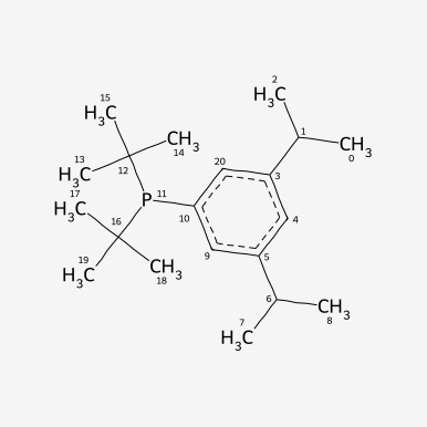 CC(C)c1cc(C(C)C)cc(P(C(C)(C)C)C(C)(C)C)c1